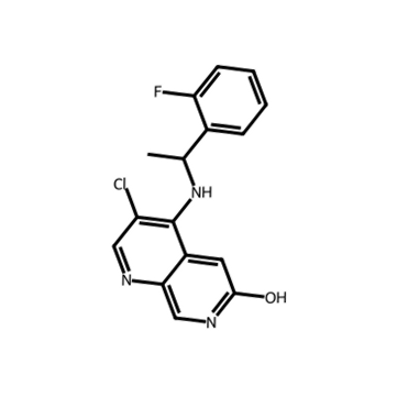 CC(Nc1c(Cl)cnc2cnc(O)cc12)c1ccccc1F